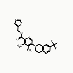 Cc1c(C(=O)NCc2cncs2)nnc(N2CCc3ncc(C(F)(F)F)cc3C2)c1C